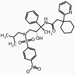 CC(C)CN(C[C@@H](O)[C@@](C)(NC(=O)CC1(c2ccccn2)CCCCC1)c1ccccc1)S(=O)(=O)c1ccc([N+](=O)[O-])cc1